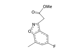 COC(=O)Cc1noc2c(C)cc(F)cc12